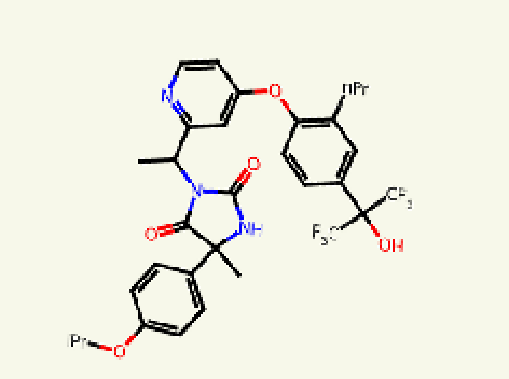 CCCc1cc(C(O)(C(F)(F)F)C(F)(F)F)ccc1Oc1ccnc(C(C)N2C(=O)NC(C)(c3ccc(OC(C)C)cc3)C2=O)c1